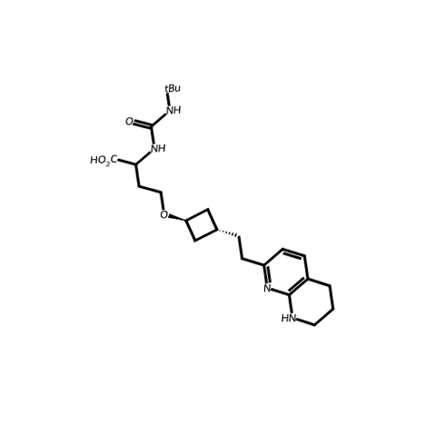 CC(C)(C)NC(=O)NC(CCO[C@H]1C[C@H](CCc2ccc3c(n2)NCCC3)C1)C(=O)O